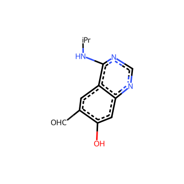 CC(C)Nc1ncnc2cc(O)c(C=O)cc12